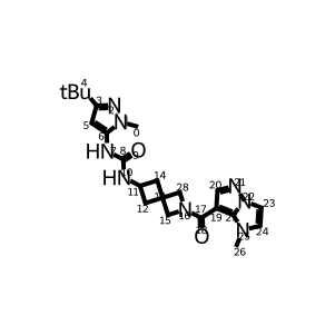 Cn1nc(C(C)(C)C)cc1NC(=O)NC1CC2(C1)CN(C(=O)c1cnn3ccn(C)c13)C2